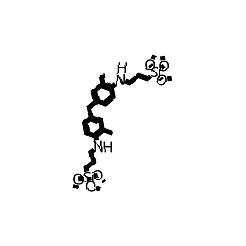 CO[Si](CCCNc1ccc(Cc2ccc(NCCC[Si](OC)(OC)OC)c(C)c2)cc1C)(OC)OC